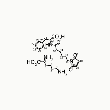 NCCCC[C@H](N)C(=O)O.O=C(CCCCCN1C(=O)C=CC1=O)N[C@@H](Cc1ccccc1)C(=O)O